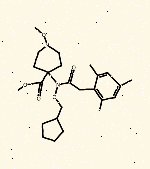 COC(=O)C1(N(OCC2CCCC2)C(=O)Cc2c(C)cc(C)cc2C)CCN(OC)CC1